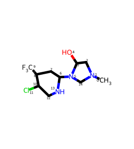 CN1CC(O)N(C2CC(C(F)(F)F)C(Cl)CN2)C1